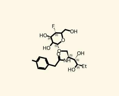 CC[C@@H](O)[C@@H](O)[C@H](CO[C@H]1OC(CO)[C@@H](F)[C@H](O)C1O)NC(=O)Cc1ccc(C)cc1